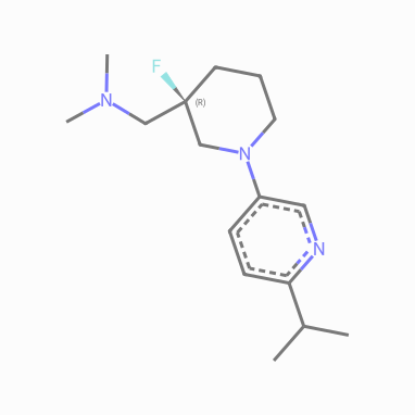 CC(C)c1ccc(N2CCC[C@@](F)(CN(C)C)C2)cn1